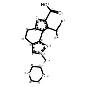 O=C(O)c1oc2c(c1C(F)F)-c1nn(C[C@H]3COCCO3)cc1CC2